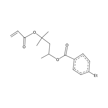 C=CC(=O)OC(C)(C)CC(C)OC(=O)c1ccc(CC)cc1